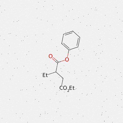 CCOC(=O)CC(CC)C(=O)Oc1ccccc1